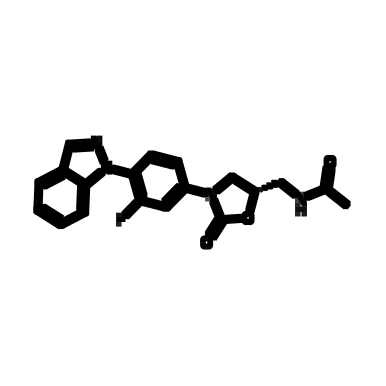 CC(=O)NC[C@H]1CN(c2ccc(-n3ncc4ccccc43)c(F)c2)C(=O)O1